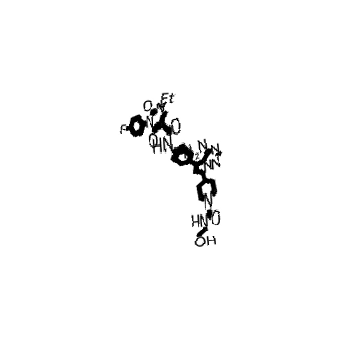 CCn1cc(C(=O)Nc2ccc(-c3cc(C4CCN(C(=O)NCCO)CC4)n4ncnc(N)c34)cc2)c(=O)n(-c2ccc(F)cc2)c1=O